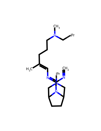 C=N/C(=N\C=C(/C)CCCN(C)CC(C)C)N1C2CCC1CN(C(C)C)C2